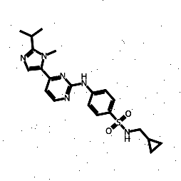 CC(C)c1ncc(-c2ccnc(Nc3ccc(S(=O)(=O)NCC4CC4)cc3)n2)n1C